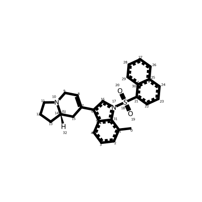 Cc1cccc2c(C3=CCN4CCC[C@H]4C3)cn(S(=O)(=O)c3cccc4ccccc34)c12